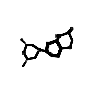 C[C@@H]1CN(c2ccc3c(n2)NC(=O)CO3)C[C@H](C)O1